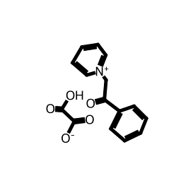 O=C(C[n+]1ccccc1)c1ccccc1.O=C([O-])C(=O)O